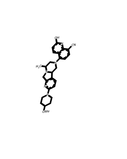 COC1CCN(c2ccc3c(n2)CN2C(C)CN(c4ccc(C#N)c5nc(O)ccc45)CC32)CC1